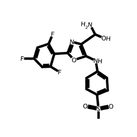 CS(=O)(=O)c1ccc(Nc2oc(-c3c(F)cc(F)cc3F)nc2C(N)O)cc1